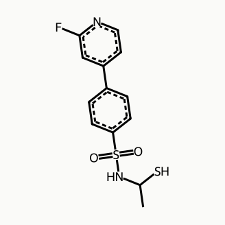 CC(S)NS(=O)(=O)c1ccc(-c2ccnc(F)c2)cc1